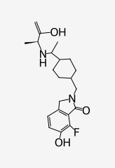 C=C(O)[C@H](C)NC(C)C1CCC(CN2Cc3ccc(O)c(F)c3C2=O)CC1